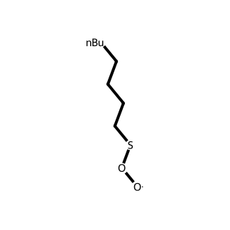 CCCCCCCCSO[O]